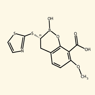 COc1ccc2c(c1C(=O)O)OB(O)[C@@H](Sc1nccs1)C2